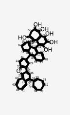 OC1=C(O)c2c(O)c(O)c(O)c(-c3c4ccccc4c(-c4ccc5oc6c7c(c(C8=CC=CCC=C8)cc6c5c4)C=CCC=C7)c4ccccc34)c2C(O)=C(O)C1